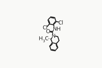 C[C@H]1c2ccccc2CCN1C(=O)Nc1c(Cl)cccc1Cl